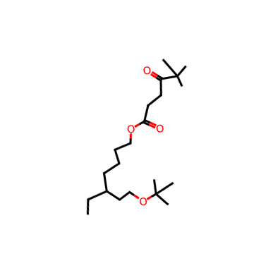 CCC(CCCCOC(=O)CCC(=O)C(C)(C)C)CCOC(C)(C)C